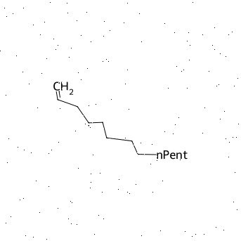 C=CC[CH]CCCCCCCCC